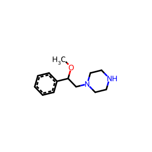 COC(CN1CCNCC1)c1ccccc1